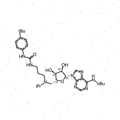 CCCCNc1ncnc2c1ncn2[C@@H]1O[C@H](CN(CCCNC(=O)Nc2ccc(C(C)(C)C)cc2)C(C)C)[C@@H](O)[C@H]1O